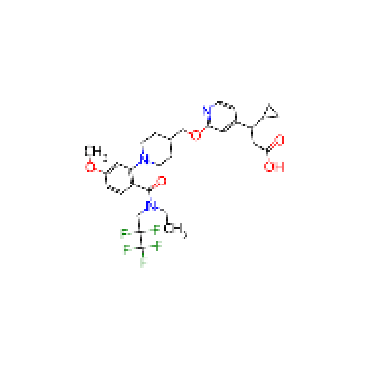 CCN(CC(F)(F)C(F)(F)F)C(=O)c1ccc(OC)cc1N1CCC(COc2cc(C(CC(=O)O)C3CC3)ccn2)CC1